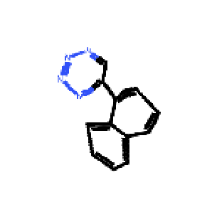 c1ccc2c(-c3cnnnn3)cccc2c1